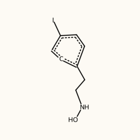 ONCCc1ccc(I)cc1